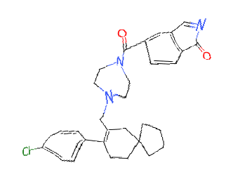 O=C1N=Cc2cc(C(=O)N3CCN(CC4=C(c5ccc(Cl)cc5)CCC5(CCCC5)C4)CC3)ccc21